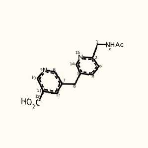 CC(=O)NCc1ccc(Cc2cncc(C(=O)O)c2)cn1